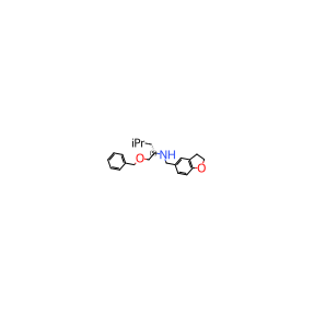 CC(C)C[C@@H](COCc1ccccc1)NCc1ccc2c(c1)CCO2